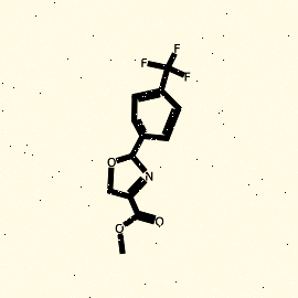 COC(=O)C1=NC(c2ccc(C(F)(F)F)cc2)OC1